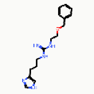 N=C(NCCCc1c[nH]cn1)NCCOCc1ccccc1